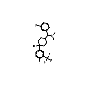 CN(C)C(c1cccc(F)c1)C1CCC(O)(c2ccc(Cl)c(C(F)(F)F)c2)CC1